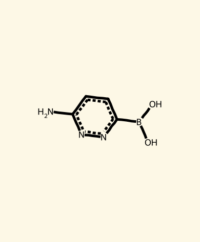 Nc1ccc(B(O)O)nn1